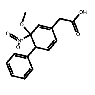 COC1([N+](=O)[O-])C=C(CC(=O)O)C=CC1c1ccccc1